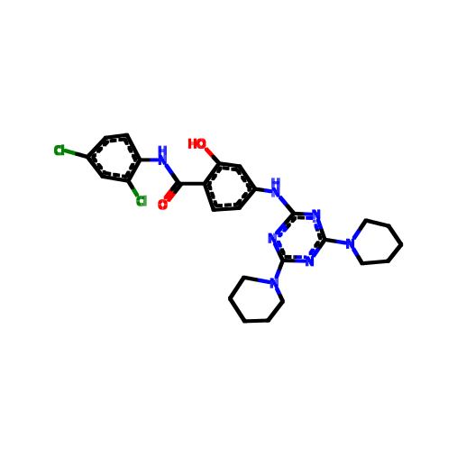 O=C(Nc1ccc(Cl)cc1Cl)c1ccc(Nc2nc(N3CCCCC3)nc(N3CCCCC3)n2)cc1O